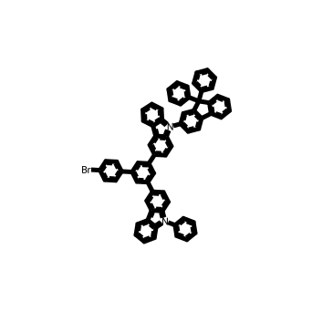 Brc1ccc(-c2cc(-c3ccc4c(c3)c3ccccc3n4-c3ccccc3)cc(-c3ccc4c(c3)c3ccccc3n4-c3ccc4c(c3)C(c3ccccc3)(c3ccccc3)c3ccccc3-4)c2)cc1